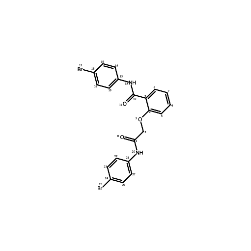 O=C(COc1ccccc1C(=O)Nc1ccc(Br)cc1)Nc1ccc(Br)cc1